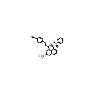 CC1Cc2cccc(NS(=O)(=O)c3ccccc3)c2N(C(=O)CCc2ccc(C#N)cc2)C1